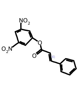 O=C(/C=C/c1ccccc1)Oc1cc([N+](=O)[O-])cc([N+](=O)[O-])c1